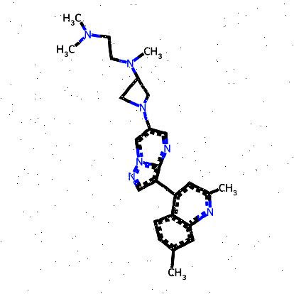 Cc1ccc2c(-c3cnn4cc(N5CC(N(C)CCN(C)C)C5)cnc34)cc(C)nc2c1